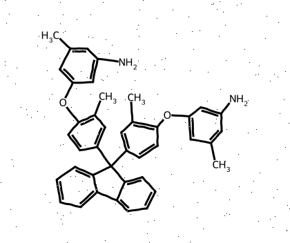 Cc1cc(N)cc(Oc2ccc(C3(c4ccc(Oc5cc(C)cc(N)c5)c(C)c4)c4ccccc4-c4ccccc43)cc2C)c1